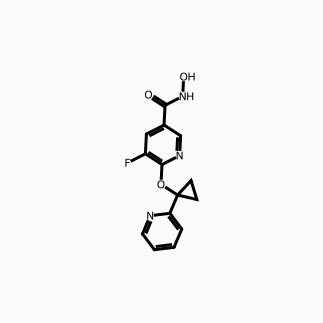 O=C(NO)c1cnc(OC2(c3ccccn3)CC2)c(F)c1